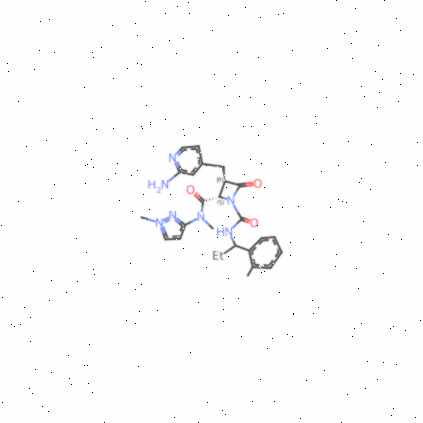 CCC(NC(=O)N1C(=O)[C@H](Cc2ccnc(N)c2)[C@H]1C(=O)N(C)c1ccn(C)n1)c1ccccc1C